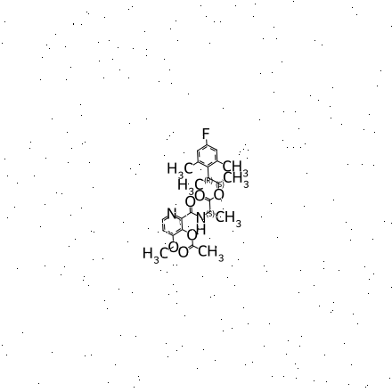 COc1ccnc(C(=O)N[C@@H](C)C(=O)O[C@@H](C)[C@H](C)c2c(C)cc(F)cc2C)c1OC(C)=O